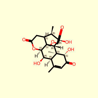 CC1=CC(=O)[C@@H](O)[C@]2(C)[C@H]3[C@@]4(O)C(=O)OC[C@@]35[C@H](OC(=O)C[C@H]5[C@H]4C)[C@H](O)[C@H]12